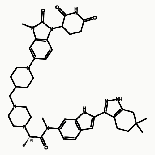 C[C@@H](C(=O)N(C)c1ccc2cc(-c3n[nH]c4c3CCC(C)(C)C4)[nH]c2c1)N1CCN(CC2CCN(c3ccc4c(c3)n(C)c(=O)n4C3CCC(=O)NC3=O)CC2)CC1